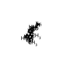 Cc1c(F)c(S(C)(=O)=O)c2[nH]ncc2c1-c1ccc2nc(NC(=O)[C@@H]3C[C@@H]3F)sc2n1